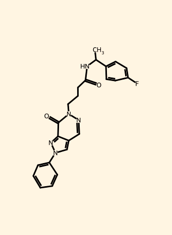 CC(NC(=O)CCCn1ncc2cn(-c3ccccc3)nc2c1=O)c1ccc(F)cc1